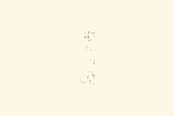 O=c1cnc2c(F)cc(F)cc2n1CCN1CCC(NCc2cc3c(nn2)OCCO3)CC1